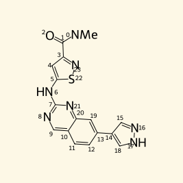 CNC(=O)c1cc(Nc2ncc3ccc(-c4cn[nH]c4)cc3n2)sn1